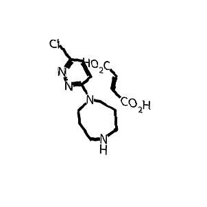 Clc1ccc(N2CCCNCCC2)nn1.O=C(O)/C=C/C(=O)O